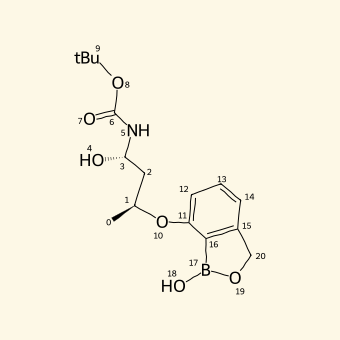 C[C@@H](C[C@H](O)NC(=O)OC(C)(C)C)Oc1cccc2c1B(O)OC2